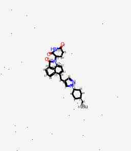 CC(C)(C)C[C@H]1CC[C@H](n2cc(Cc3ccc4c5c(cccc35)C(=O)N4C3CCC(=O)NC3=O)cn2)CC1